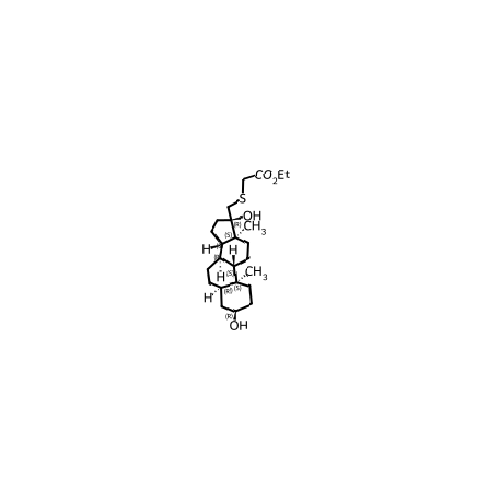 CCOC(=O)CSC[C@@]1(O)CC[C@H]2[C@@H]3CC[C@@H]4C[C@H](O)CC[C@]4(C)[C@H]3CC[C@@]21C